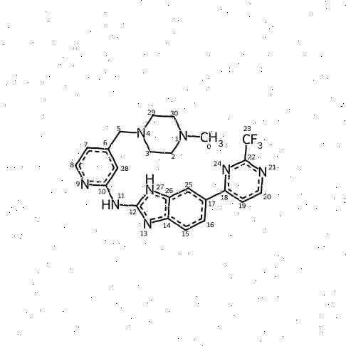 CN1CCN(Cc2ccnc(Nc3nc4ccc(-c5ccnc(C(F)(F)F)n5)cc4[nH]3)c2)CC1